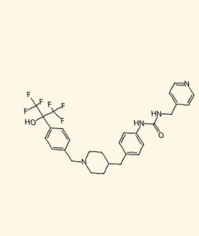 O=C(NCc1ccncc1)Nc1ccc(CC2CCN(Cc3ccc(C(O)(C(F)(F)F)C(F)(F)F)cc3)CC2)cc1